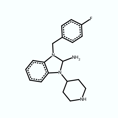 NC1N(Cc2ccc(F)cc2)c2ccccc2N1C1CCNCC1